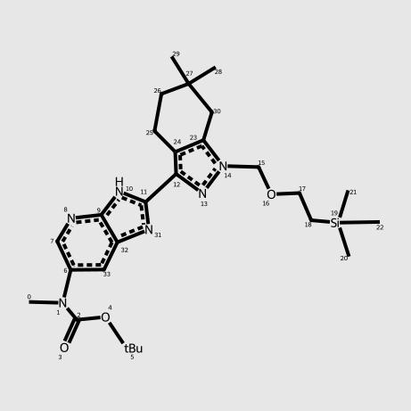 CN(C(=O)OC(C)(C)C)c1cnc2[nH]c(-c3nn(COCC[Si](C)(C)C)c4c3CCC(C)(C)C4)nc2c1